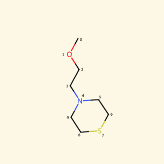 COCCN1CCSCC1